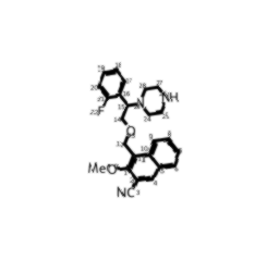 COc1c(C#N)cc2ccccc2c1COCC(c1ccccc1F)N1CCNCC1